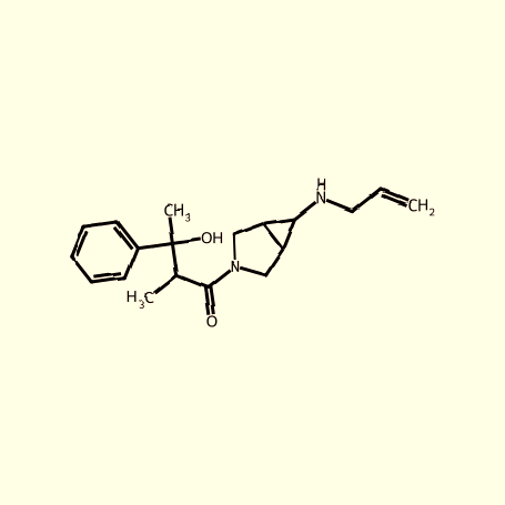 C=CCNC1C2CN(C(=O)C(C)C(C)(O)c3ccccc3)CC21